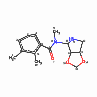 Cc1cccc(C(=O)N(C)C2NCC3OCOC32)c1C